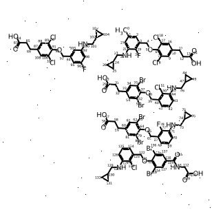 Cc1cc(COc2c(Cl)cc(CCC(=O)O)cc2Cl)c(F)c(NCC2CC2)c1.O=C(O)CCc1cc(Br)c(OCc2cccc(NCC3CC3)c2Cl)c(Br)c1.O=C(O)CCc1cc(Br)c(OCc2cccc(NCC3CC3)c2F)c(Br)c1.O=C(O)CCc1cc(Cl)c(OCc2cc(F)cc(NCC3CC3)c2)c(Cl)c1.O=C(O)CNC(=O)c1cc(Br)c(OCc2cccc(NCC3CC3)c2Cl)c(Br)c1